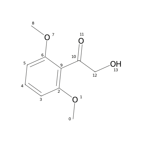 COc1cccc(OC)c1C(=O)CO